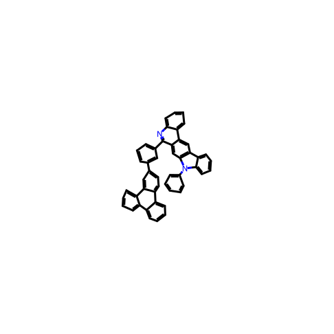 c1ccc(-n2c3ccccc3c3cc4c(cc32)c(-c2cccc(-c3ccc5c6ccccc6c6ccccc6c5c3)c2)nc2ccccc24)cc1